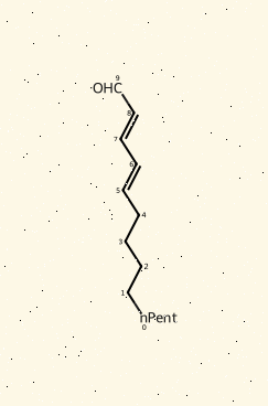 CCCCCCCCCC=CC=C[C]=O